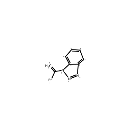 C=C(CC)n1nnc2ccccc21